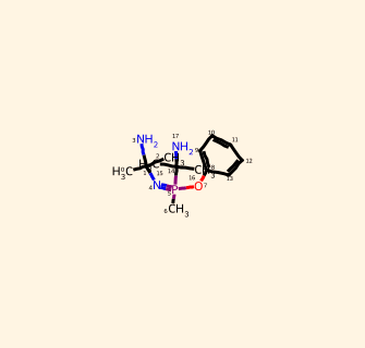 CC(C)(N)N=P(C)(Oc1ccccc1)C(C)(C)N